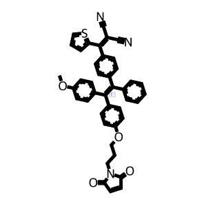 COc1ccc(/C(=C(/c2ccccc2)c2ccc(C(=C(C#N)C#N)c3cccs3)cc2)c2ccc(OCCCN3C(=O)C=CC3=O)cc2)cc1